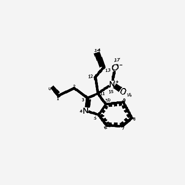 C=CCC1=Nc2ccccc2C1(CC=C)[N+](=O)[O-]